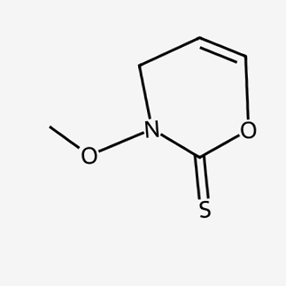 CON1CC=COC1=S